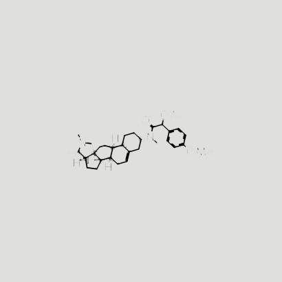 COc1ccc(C(OC(C)=O)C(=O)N(C)[C@H]2CC[C@@]3(C)C(=CC[C@H]4[C@@H]5CC[C@@H]6[C@H](C)N(C)C[C@@]65CC[C@@H]43)C2)cc1